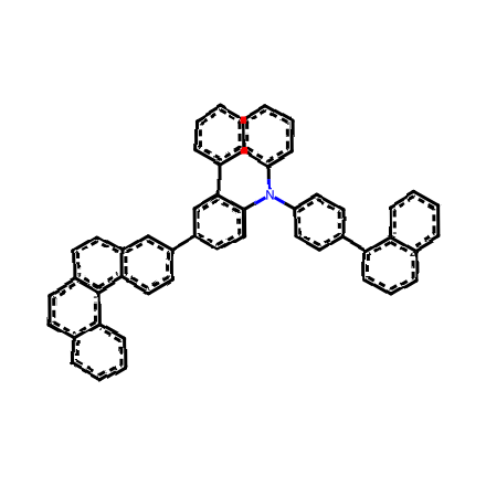 c1ccc(-c2cc(-c3ccc4c(ccc5ccc6ccccc6c54)c3)ccc2N(c2ccccc2)c2ccc(-c3cccc4ccccc34)cc2)cc1